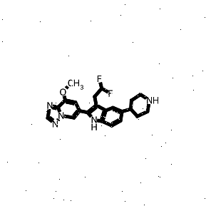 COc1cc(-c2[nH]c3ccc(C4CCNCC4)cc3c2CC(F)F)cn2ncnc12